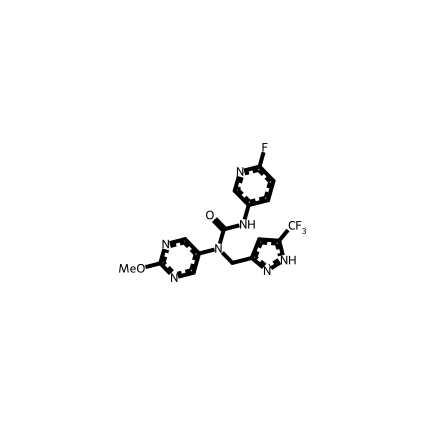 COc1ncc(N(Cc2cc(C(F)(F)F)[nH]n2)C(=O)Nc2ccc(F)nc2)cn1